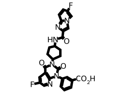 O=C(O)c1cccc(-n2c(=O)n(C3CCC(NC(=O)c4cn5cc(F)ccc5n4)CC3)c(=O)c3cc(F)cnc32)c1